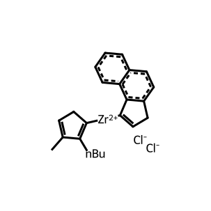 CCCCC1=[C]([Zr+2][C]2=CCc3ccc4ccccc4c32)CC=C1C.[Cl-].[Cl-]